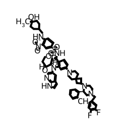 Cc1ccccc1[C@@H]1CN(Cc2ccc(F)c(F)c2)CCN1C1CC2(CCN(c3ccc(C(=O)NS(=O)(=O)c4ccc(NCC5CCC(C)(O)CC5)c([N+](=O)[O-])c4)c(N4c5cc6cc[nH]c6nc5O[C@@H]5CCOC[C@H]54)c3)CC2)C1